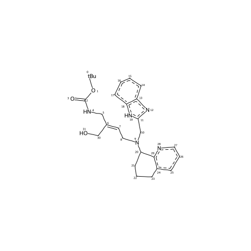 CC(C)(C)OC(=O)NCC(=CCN(Cc1nc2ccccc2[nH]1)C1CCCc2cccnc21)CO